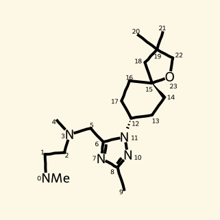 CNCCN(C)Cc1nc(C)nn1[C@H]1CC[C@@]2(CC1)CC(C)(C)CO2